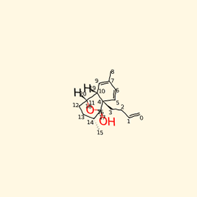 C=CCC[C@]12C=CC(C)=C[C@H]1[C@H]1CC[C@@H](C)[C@]2(O)O1